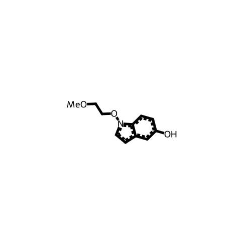 COCCOn1ccc2cc(O)ccc21